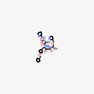 CC(C)[C@H](COCc1cccnc1)NC(=O)C(F)(F)C(=O)C(Cc1ccc(OCc2ccccc2)cc1)NC(=O)[C@@H](NC(=O)OCc1ccccn1)C(C)C